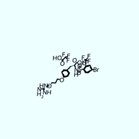 N=C(N)NOCCCOc1ccc(C[C@H](NS(=O)(=O)c2ccc(Br)cc2OC(F)(F)F)C(=O)O)cc1.O=C(O)C(F)(F)F